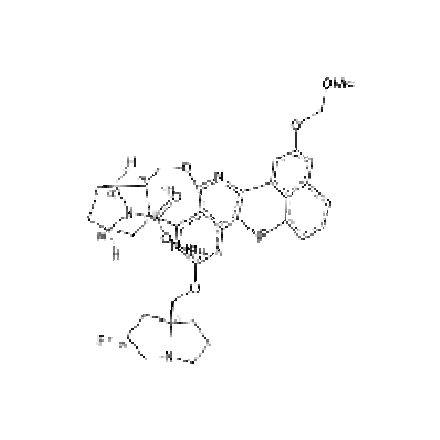 COCOc1cc(-c2nc3c4c(nc(OC[C@@]56CCCN5C[C@H](F)C6)nc4c2F)N2C[C@H]4CC[C@@H]([C@H]2CO3)N4C(=O)OC(C)(C)C)c2c(F)cccc2c1